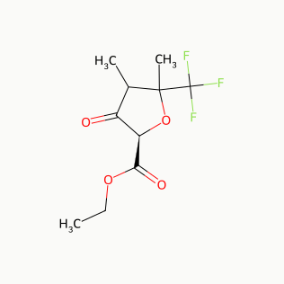 CCOC(=O)[C@@H]1OC(C)(C(F)(F)F)C(C)C1=O